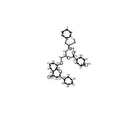 CCC(Cc1ccccc1)NCC(COc1cccc2c(=O)cc(-c3ccccc3)oc12)OC(=O)c1ccccc1.Cl